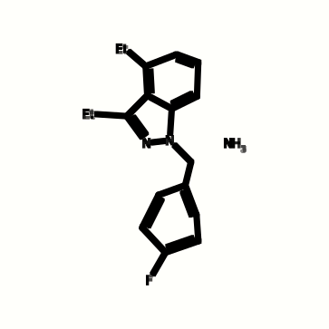 CCc1cccc2c1c(CC)nn2Cc1ccc(F)cc1.N